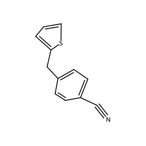 N#Cc1ccc(Cc2cccs2)cc1